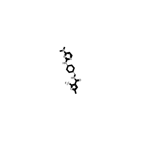 Cc1cc(C(=O)NC[C@H]2CC[C@@H](Nc3nccc(N(C)C)n3)CC2)c(C(F)(F)F)o1